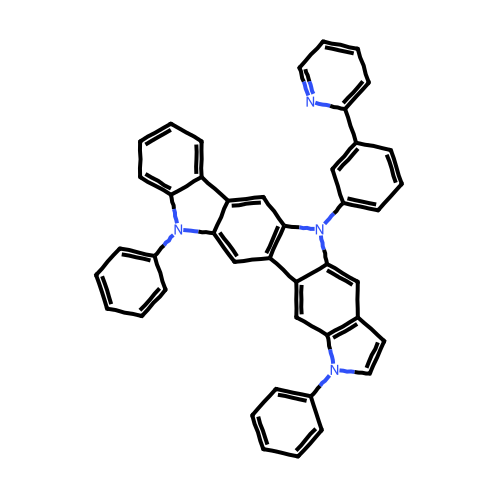 c1ccc(-n2ccc3cc4c(cc32)c2cc3c(cc2n4-c2cccc(-c4ccccn4)c2)c2ccccc2n3-c2ccccc2)cc1